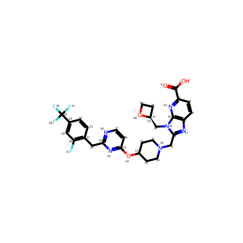 O=C(O)c1ccc2nc(CN3CCC(Oc4ccnc(Cc5ccc(C(F)(F)F)cc5F)n4)CC3)n(C[C@@H]3CCO3)c2n1